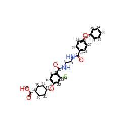 O=C(NCCNC(=O)c1ccc(O[C@H]2CC[C@@H](C(=O)O)CC2)cc1F)c1ccc(Oc2ccccc2)cc1